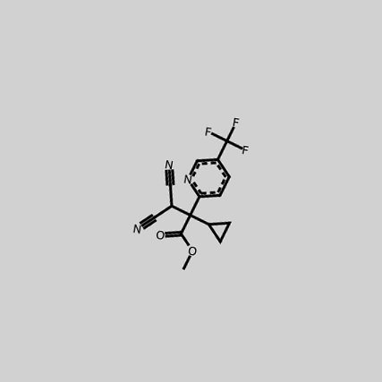 COC(=O)C(c1ccc(C(F)(F)F)cn1)(C(C#N)C#N)C1CC1